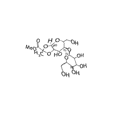 COC(=O)C1(C)OC2C(O)[C@H](O[C@@H]3OC(CO)[C@H](O)C(O)C3O)C(CO)O[C@@H]2O1